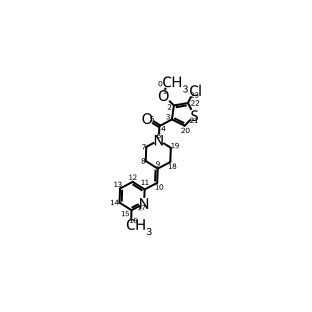 COc1c(C(=O)N2CCC(=Cc3cccc(C)n3)CC2)csc1Cl